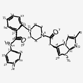 Cc1cn2c(CC(=O)N3CCN(c4ccccc4C(=O)Nc4ccncc4)CC3)csc2n1